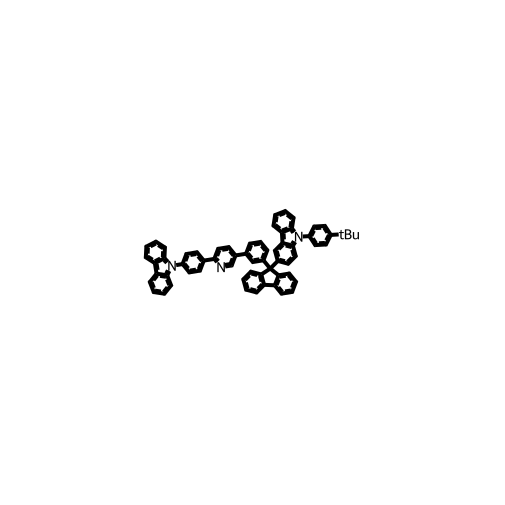 CC(C)(C)c1ccc(-n2c3ccccc3c3cc(C4(c5cccc(-c6ccc(-c7ccc(-n8c9ccccc9c9ccccc98)cc7)nc6)c5)c5ccccc5-c5ccccc54)ccc32)cc1